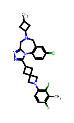 Fc1ccc(N2CC3(CC(c4nnc5n4-c4ccc(Cl)cc4CN(C4CC(C(F)(F)F)C4)C5)C3)C2)c(F)c1C(F)(F)F